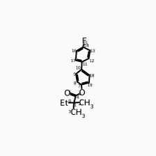 CCC(C)(C)C(=O)Oc1ccc(-c2ccc(F)cc2)cc1